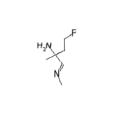 C/N=C/C(C)(N)CCF